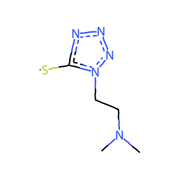 CN(C)CCn1nnnc1[S]